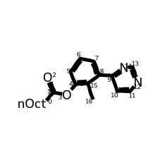 CCCCCCCCC(=O)Oc1cccc(-c2ccncn2)c1C